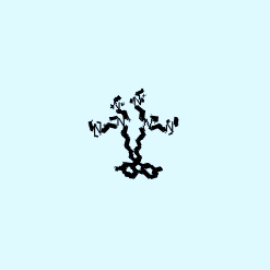 CC[N+](C)(C)CCC[N+](CC)(CCCCCCC1(CCCCCC[N+](CC)(CCC[N+](C)(C)CC)CCC[N+](C)(C)CC)c2cc(C)ccc2-c2ccc(C)cc21)CCC[N+](C)(C)CC